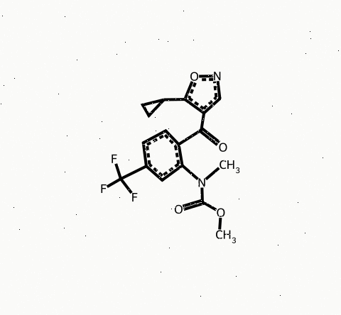 COC(=O)N(C)c1cc(C(F)(F)F)ccc1C(=O)c1cnoc1C1CC1